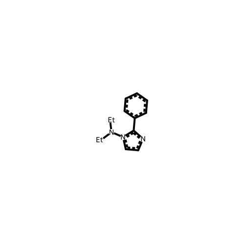 CCN(CC)n1ccnc1-c1ccccc1